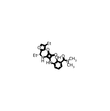 CCc1coc([C@@H](CC)Nc2c(Nc3cccc(C(=O)N(C)C)c3O)c(=O)c2=O)c1